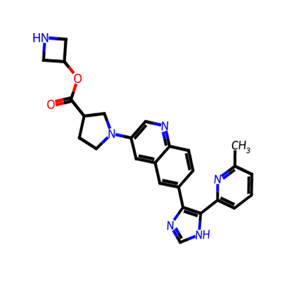 Cc1cccc(-c2[nH]cnc2-c2ccc3ncc(N4CCC(C(=O)OC5CNC5)C4)cc3c2)n1